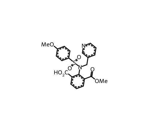 COC(=O)c1cccc(C(=O)O)c1N(Cc1cccnc1)S(=O)(=O)c1ccc(OC)cc1